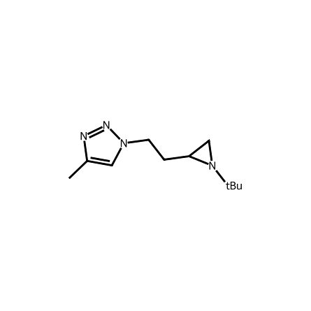 Cc1cn(CCC2CN2C(C)(C)C)nn1